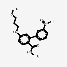 CNC(=O)c1ccc(NCCCOC)cc1-c1cccc([N+](=O)[O-])c1